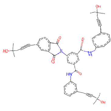 CC(C)(O)C#Cc1cccc(NC(=O)c2cc(C(=O)Nc3cccc(C#CC(C)(C)O)c3)cc(N3C(=O)c4ccc(C#CC(C)(C)O)cc4C3=O)c2)c1